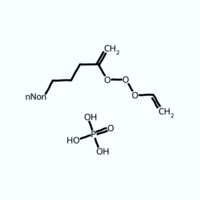 C=COOOC(=C)CCCCCCCCCCCC.O=P(O)(O)O